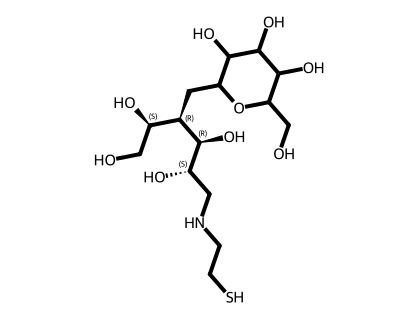 OCC1OC(C[C@@H]([C@@H](O)[C@@H](O)CNCCS)[C@H](O)CO)C(O)C(O)C1O